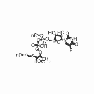 CCCCCCCCCCCSC(CCCCCCCC)C(C)OOP(=O)(O)OP(=O)(OCCC)OC[C@H]1O[C@@H](n2cc(F)c(=O)[nH]c2=O)[C@H](O)[C@@H]1O